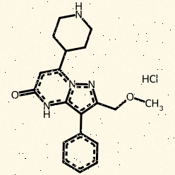 COCc1nn2c(C3CCNCC3)cc(=O)[nH]c2c1-c1ccccc1.Cl